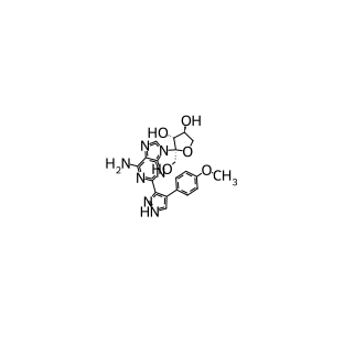 COc1ccc(-c2c[nH]nc2-c2nc(N)c3ncn([C@]4(CO)OC[C@H](O)[C@H]4O)c3n2)cc1